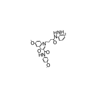 COc1ccc(NC(=O)c2cn(CCCC(=O)Nc3ccccc3N)c3ccc(OC)cc3c2=O)cc1